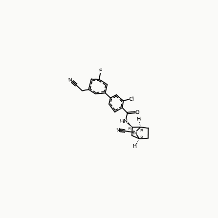 N#CCc1cc(F)cc(-c2ccc(C(=O)N[C@@H]3C[C@@H]4CC[C@H]3N4C#N)c(Cl)c2)c1